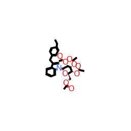 CCc1ccc(Cc2cn(C3O[C@H](COC(C)=O)[C@@H](OC(C)=O)[C@H](OC(C)=O)[C@H]3OC(C)=O)c3ccccc23)cc1